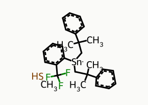 CC(C)([CH2][Sn]([CH2]C(C)(C)c1ccccc1)[c]1ccccc1C(F)(F)F)c1ccccc1.CS